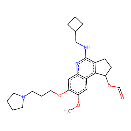 COc1cc2c3c(c(NCC4CCC4)nc2cc1OCCCN1CCCC1)CCC3OC=O